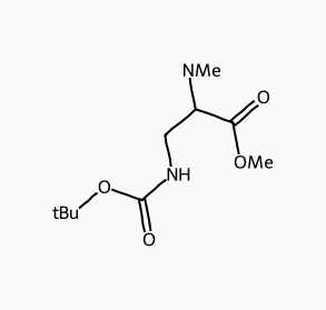 CNC(CNC(=O)OC(C)(C)C)C(=O)OC